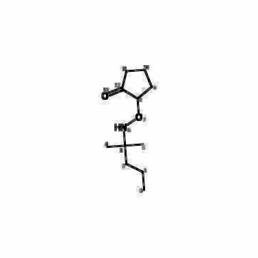 CCCC(C)(C)NOC1CCCC1=O